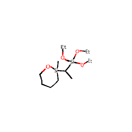 CCO[Si](OCC)(OCC)C(C)[Si]1(C)CCCCO1